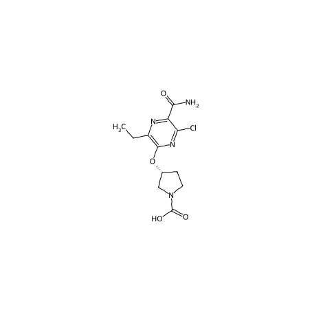 CCc1nc(C(N)=O)c(Cl)nc1O[C@@H]1CCN(C(=O)O)C1